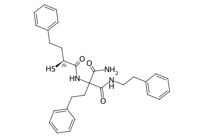 NC(=O)C(CCc1ccccc1)(NC(=O)[C@@H](S)CCc1ccccc1)C(=O)NCCc1ccccc1